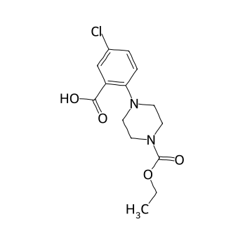 CCOC(=O)N1CCN(c2ccc(Cl)cc2C(=O)O)CC1